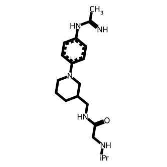 CC(=N)Nc1ccc(N2CCCC(CNC(=O)CNC(C)C)C2)cc1